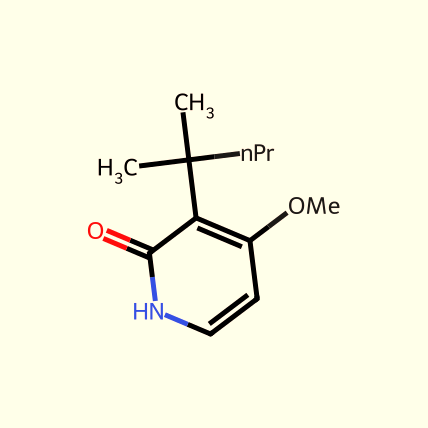 CCCC(C)(C)c1c(OC)cc[nH]c1=O